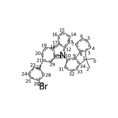 CC1(C)c2ccccc2-c2c(-n3c4ccccc4c4ccc(-c5cccc(Br)c5)cc43)cccc21